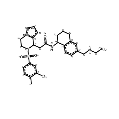 Cc1ccc(S(=O)(=O)N2CCn3cccc3C2CC(=O)NC2CCCc3cc(CNCC(C)(C)C)ccc32)cc1Cl